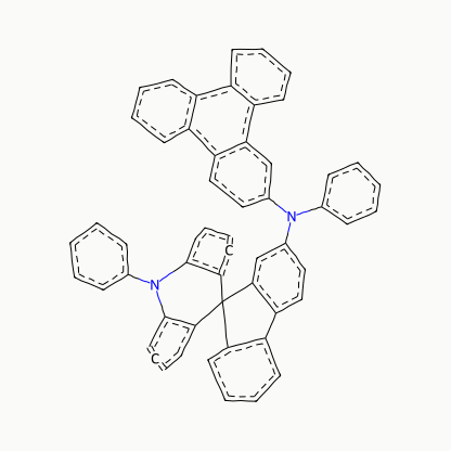 c1ccc(N(c2ccc3c(c2)C2(c4ccccc4-3)c3ccccc3N(c3ccccc3)c3ccccc32)c2ccc3c4ccccc4c4ccccc4c3c2)cc1